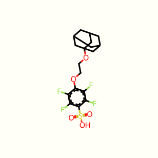 O=S(=O)(O)c1c(F)c(F)c(OCCOC23CC4CC(CC(C4)C2)C3)c(F)c1F